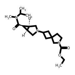 CCOC(=O)N1CCC2(CC(N3C[C@@H]4[C@H](C3)[C@@H]4C(=O)N(C)C(C)C)C2)C1